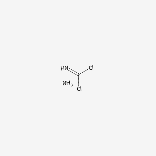 N.N=C(Cl)Cl